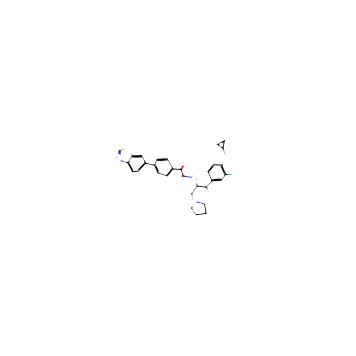 O=C(NC(CN1CCCC1)C(O)c1ccc(OC2CC2)c(Cl)c1)C(=O)c1ccc(-c2ccc3ncsc3c2)cc1